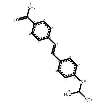 CC(=O)c1ccc(/C=C/c2ccc(SC(C)C)cc2)cc1